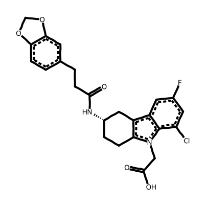 O=C(O)Cn1c2c(c3cc(F)cc(Cl)c31)C[C@@H](NC(=O)CCc1ccc3c(c1)OCO3)CC2